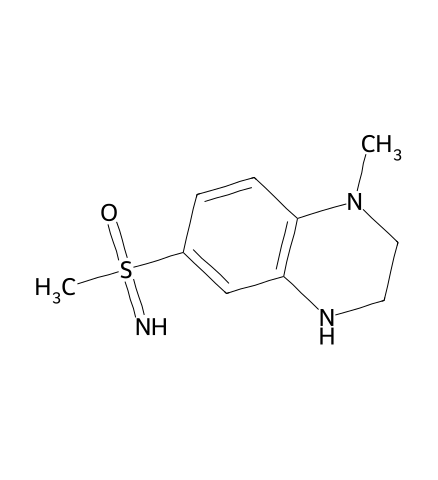 CN1CCNc2cc(S(C)(=N)=O)ccc21